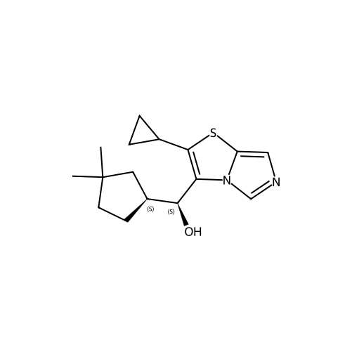 CC1(C)CC[C@H]([C@H](O)c2c(C3CC3)sc3cncn23)C1